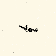 C=CCC(CCCCCC)Oc1ccc(CCC(C)=O)cc1